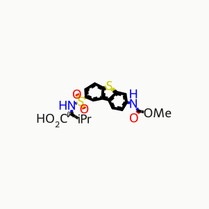 COC(=O)Nc1ccc2c(c1)sc1ccc(S(=O)(=O)N[C@@H](C(=O)O)C(C)C)cc12